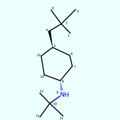 CC(C)(C)C[C@H]1CC[C@H](NC(C)(C)C)CC1